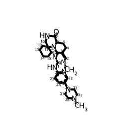 C=N/C=C1/CCC2C(=O)NCC3(CCCCC3)N2/C1=N/CNc1ccc(N2CCN(C)CC2)cn1